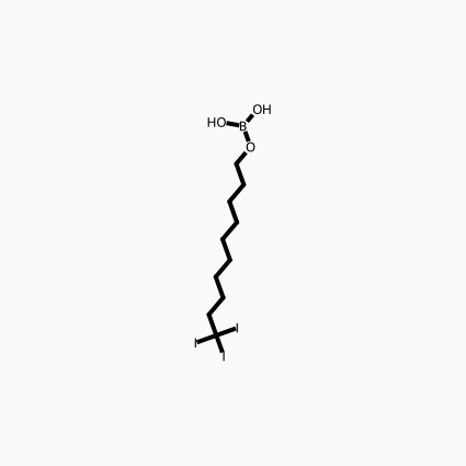 OB(O)OCCCCCCCCCC(I)(I)I